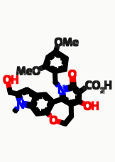 COc1ccc(Cn2c3c(c(O)c(C(=O)O)c2=O)CCOc2cc4c(cc2-3)cc(CO)n4C)c(OC)c1